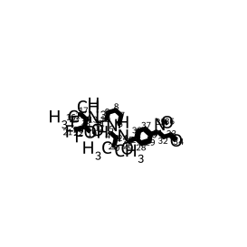 CC(C)C(CN1CCCC[C@H]1C(=O)NC(C(C)C)C(O)C(F)(F)F)NC(=O)c1ccc(C(CC=O)N=O)cc1